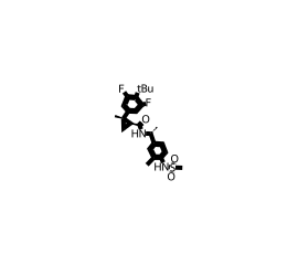 Cc1cc([C@@H](C)NC(=O)[C@H]2C[C@]2(C)c2cc(F)c(C(C)(C)C)c(F)c2)ccc1NS(C)(=O)=O